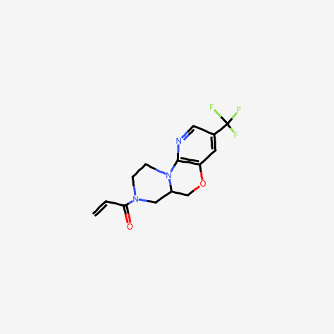 C=CC(=O)N1CCN2c3ncc(C(F)(F)F)cc3OCC2C1